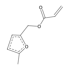 C=CC(=O)OCc1ccc(C)o1